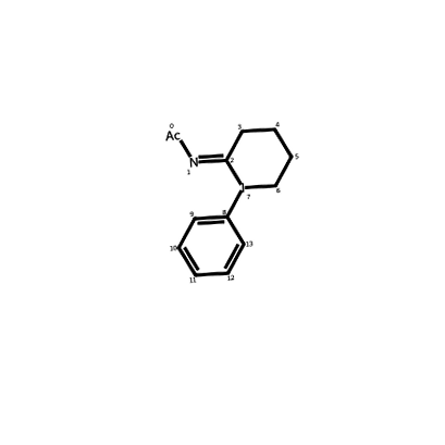 CC(=O)N=C1CCCCI1c1ccccc1